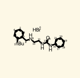 Br.CCCCc1ccccc1CNCCNC(=O)Nc1ccccc1